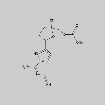 CC(C)COC(=O)OCC1(C#N)CCC(c2ccc(/C(N)=N\C=N)[nH]2)O1